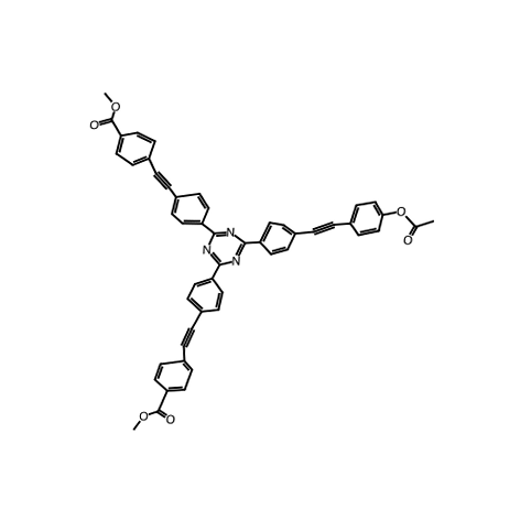 COC(=O)c1ccc(C#Cc2ccc(-c3nc(-c4ccc(C#Cc5ccc(OC(C)=O)cc5)cc4)nc(-c4ccc(C#Cc5ccc(C(=O)OC)cc5)cc4)n3)cc2)cc1